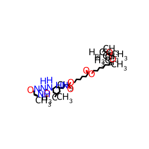 Cc1cc(=O)nc(NC(=O)NC2CC(C)(C)CC(C)(CNC(=O)OCCCCCC(=O)OCCCCCC[Si](C)(C)O[Si](C)(C)O[Si](C)(C)C)C2)[nH]1